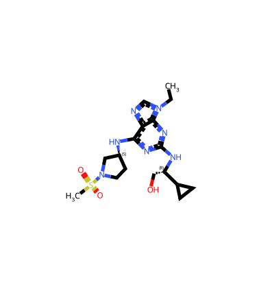 CCn1cnc2c(N[C@H]3CCN(S(C)(=O)=O)C3)nc(N[C@@H](CO)C3CC3)nc21